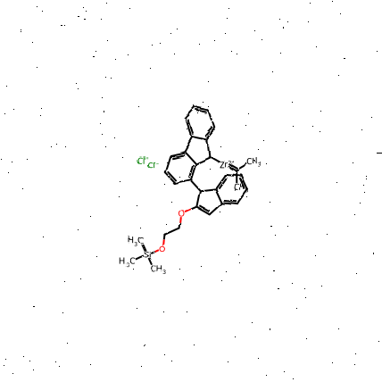 C[C](C)=[Zr+2][CH]1c2ccccc2-c2cccc(C3C(OCCO[Si](C)(C)C)=Cc4ccccc43)c21.[Cl-].[Cl-]